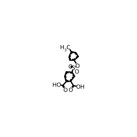 Cc1ccc(OS(=O)(=O)c2ccc(C(=O)O)c(C(=O)O)c2)cc1